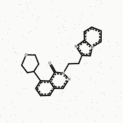 O=c1c2c(C3CCOCC3)cccc2cnn1CCc1cn2ccccc2n1